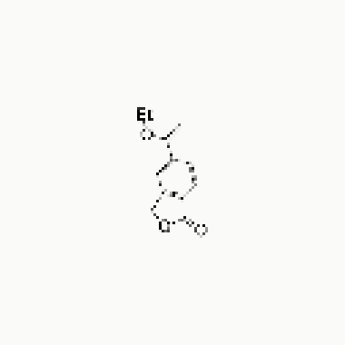 C=C(OCC)c1ccc2c(c1)COC2=O